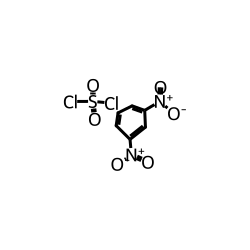 O=S(=O)(Cl)Cl.O=[N+]([O-])c1cccc([N+](=O)[O-])c1